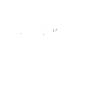 O=C(c1ccc(F)cc1)c1ccc(N2CC[C@H](OC3NC=CC=C3F)C2)c(CCO)c1